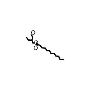 CCCCCCCCCCCC(=O)OCC(CC)CC=O